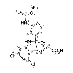 CCCCOC(=O)Nc1cccc(C2(CC)Nc3cc(Cl)cc(Cl)c3C2C=CC(=O)O)c1